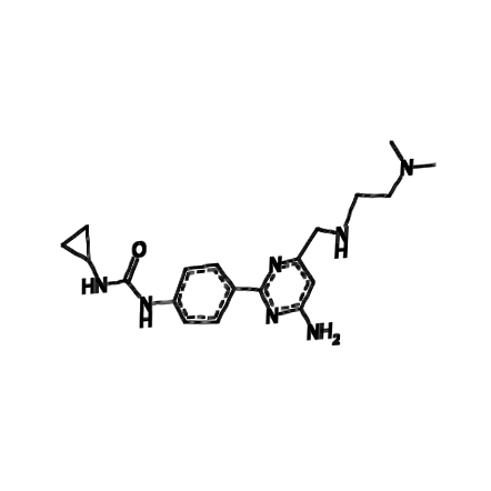 CN(C)CCNCc1cc(N)nc(-c2ccc(NC(=O)NC3CC3)cc2)n1